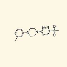 Cc1cccc(N2CCN(c3ccc(S(C)(=O)=O)nn3)CC2)c1